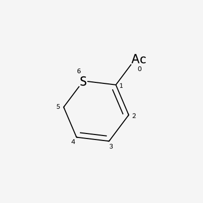 CC(=O)C1=CC=CCS1